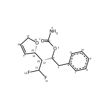 NC(=O)OC(Cc1ccccc1)[C@H](C(F)F)[C@@H]1C=CCO1